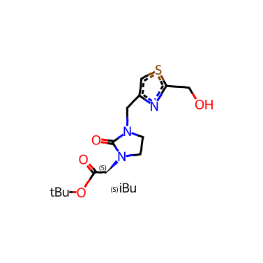 CC[C@H](C)[C@@H](C(=O)OC(C)(C)C)N1CCN(Cc2csc(CO)n2)C1=O